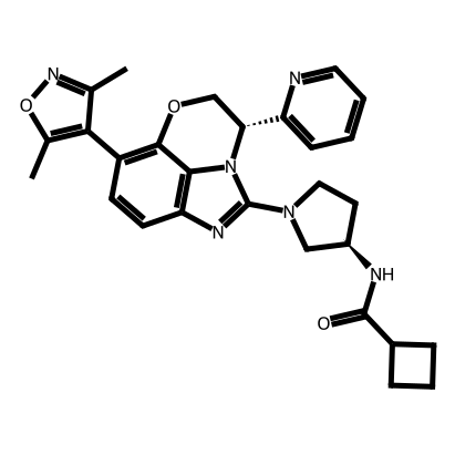 Cc1noc(C)c1-c1ccc2nc(N3CC[C@@H](NC(=O)C4CCC4)C3)n3c2c1OC[C@@H]3c1ccccn1